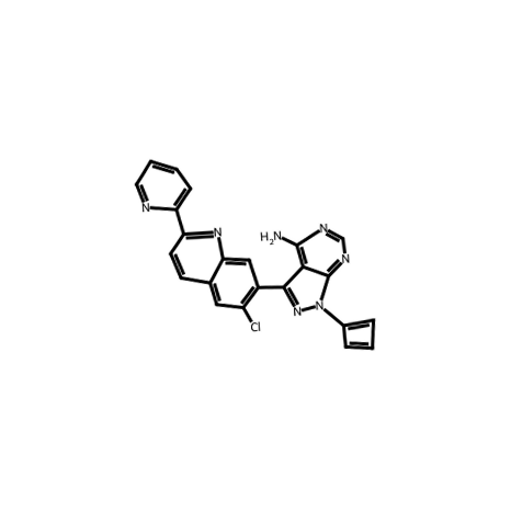 Nc1ncnc2c1c(-c1cc3nc(-c4ccccn4)ccc3cc1Cl)nn2C1=CC=C1